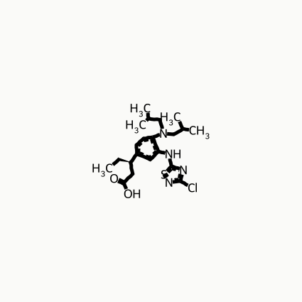 CC[C@H](CC(=O)O)c1ccc(N(CC(C)C)CC(C)C)c(Nc2nc(Cl)ns2)c1